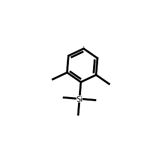 Cc1c[c]cc(C)c1[Si](C)(C)C